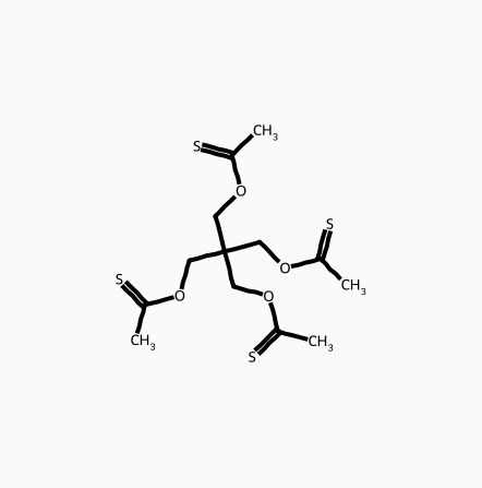 CC(=S)OCC(COC(C)=S)(COC(C)=S)COC(C)=S